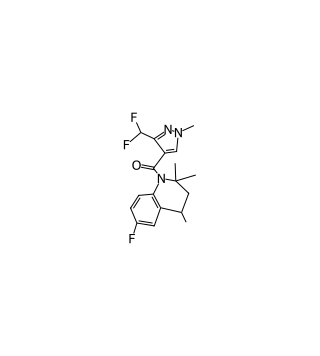 CC1CC(C)(C)N(C(=O)c2cn(C)nc2C(F)F)c2ccc(F)cc21